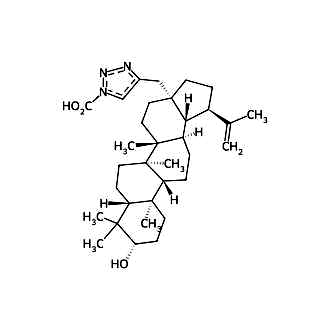 C=C(C)[C@@H]1CC[C@]2(Cc3cn(C(=O)O)nn3)CC[C@]3(C)[C@H](CC[C@@H]4[C@@]5(C)CC[C@H](O)C(C)(C)[C@@H]5CC[C@]43C)[C@@H]12